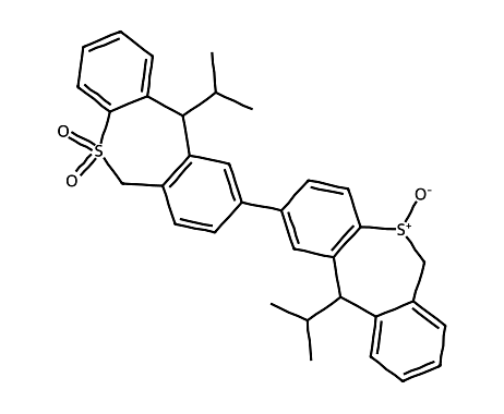 CC(C)C1c2ccccc2C[S+]([O-])c2ccc(-c3ccc4c(c3)C(C(C)C)c3ccccc3S(=O)(=O)C4)cc21